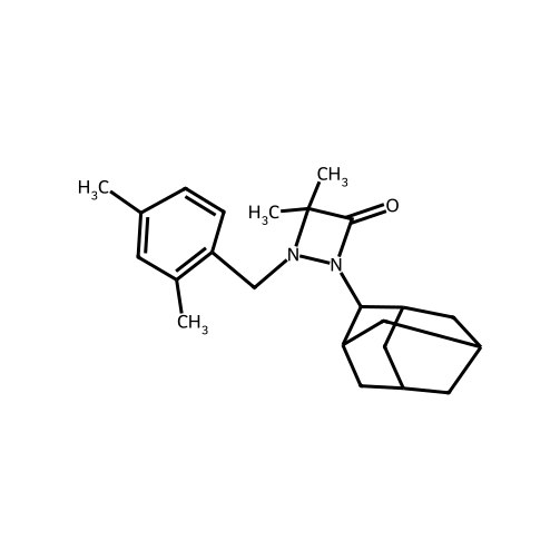 Cc1ccc(CN2N(C3C4CC5CC(C4)CC3C5)C(=O)C2(C)C)c(C)c1